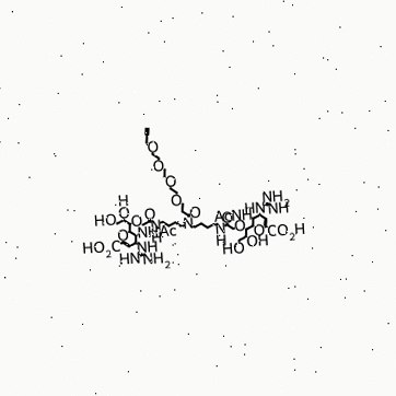 C#CCOCCOCCOCCOCCC(=O)N(CCCCNC(=O)CO[C@@H]([C@@H]1OC(C(=O)O)=C[C@H](NC(=N)N)[C@H]1NC(C)=O)[C@H](O)CO)CCCCNC(=O)CO[C@@H]([C@@H]1OC(C(=O)O)=C[C@H](NC(=N)N)[C@H]1NC(C)=O)[C@H](O)CO